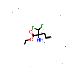 C=CCC(N)(C(=O)OCC)C(F)F